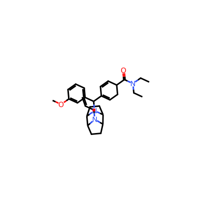 C=CCN1C2CCC1C1CCC2N1C(C1=CCC(C(=O)N(CC)CC)C=C1)c1cccc(OC)c1